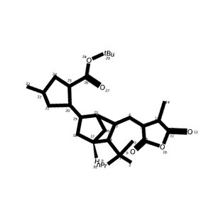 CCCC(C)(C)C1C(CC2C(=O)OC(=O)C2C)C2C[C@H]1CC2C1CC(C)CC1C(=O)OC(C)(C)C